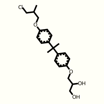 CC(CCl)COc1ccc(C(C)(C)c2ccc(OCC(O)CO)cc2)cc1